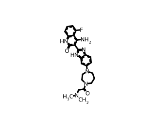 CN(C)CC(=O)N1CCCN(c2ccc3nc(-c4c(N)c5c(F)cccc5[nH]c4=O)[nH]c3c2)CC1